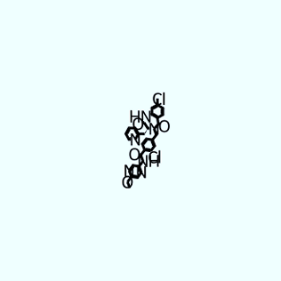 COc1cnc(NC(=O)c2ccc(CN3C(=O)c4ccc(Cl)cc4NC(=O)[C@H]3Cc3ccccn3)cc2Cl)cn1